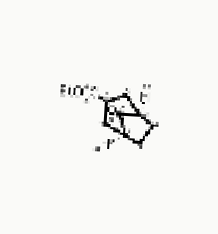 CCOC(=O)[C@H]1C[C@H]2CC[C@@H](C1)C2=O